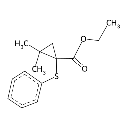 CCOC(=O)C1(Sc2ccccc2)CC1(C)C